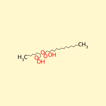 CCCCCCCCCCCCCC(O)CC(=O)OC(CCCCCC)CC(=O)O